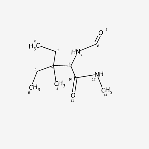 CCC(C)(CC)C(NC=O)C(=O)NC